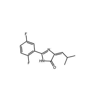 CC(C)C=C1N=C(c2cc(F)ccc2F)NC1=O